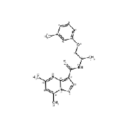 Cc1cccc(OCC(C)NC(=O)c2cnn3c(C)cc(C)nc23)c1